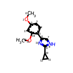 COc1ccc(-c2c[nH]c(C3CC3)n2)c(OC)c1